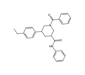 CCc1ccc(C2CC(C(=O)Nc3ccccc3)CN(C(=O)c3ccccc3)C2)cc1